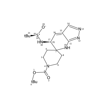 CC(C)(C)OC(=O)N1CCC2(CC1)NC1=NN=CC1=C[C@@H]2N[S@+]([O-])C(C)(C)C